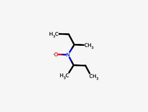 CCC(C)N([O])C(C)CC